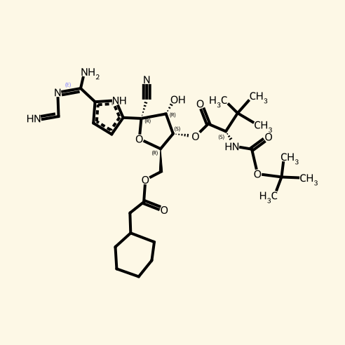 CC(C)(C)OC(=O)N[C@H](C(=O)O[C@H]1[C@@H](O)[C@](C#N)(c2ccc(/C(N)=N\C=N)[nH]2)O[C@@H]1COC(=O)CC1CCCCC1)C(C)(C)C